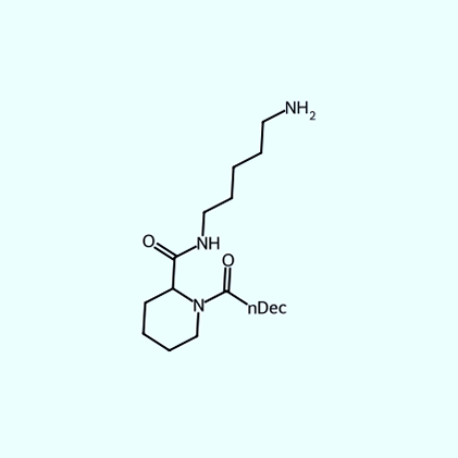 CCCCCCCCCCC(=O)N1CCCCC1C(=O)NCCCCCN